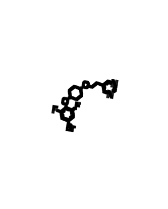 Fc1cc(Br)cc(F)c1OC1CCC(OCCc2cncnc2)CC1